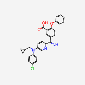 N=C(c1ccc(Oc2ccccc2)c(C(=O)O)c1)c1ccc(N(CC2CC2)c2ccc(Cl)cc2)cn1